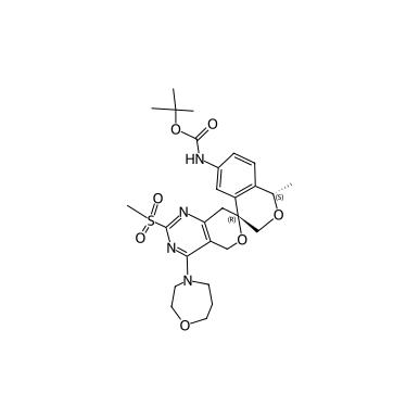 C[C@@H]1OC[C@@]2(Cc3nc(S(C)(=O)=O)nc(N4CCCOCC4)c3CO2)c2cc(NC(=O)OC(C)(C)C)ccc21